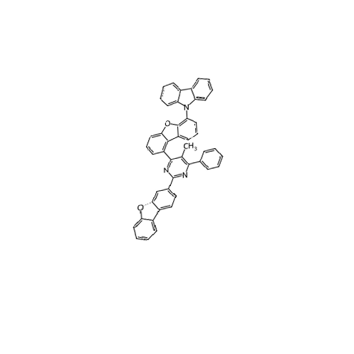 Cc1c(-c2ccccc2)nc(-c2ccc3c(c2)oc2ccccc23)nc1-c1cccc2oc3c(-n4c5ccccc5c5ccccc54)cccc3c12